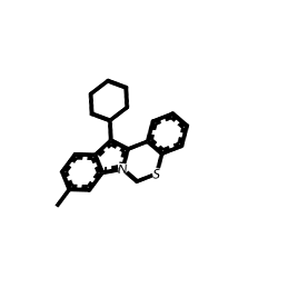 Cc1ccc2c(C3CCCCC3)c3n(c2c1)CSc1ccccc1-3